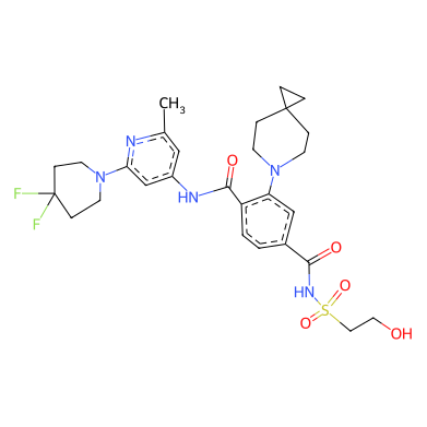 Cc1cc(NC(=O)c2ccc(C(=O)NS(=O)(=O)CCO)cc2N2CCC3(CC2)CC3)cc(N2CCC(F)(F)CC2)n1